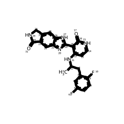 CC(Cc1cc(F)ccc1F)Nc1cc[nH]c(=O)c1-c1nc2cc3c(cc2[nH]1)CNC3=O